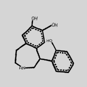 Oc1cc2c(cc1O)C(c1ccccc1O)CNCC2